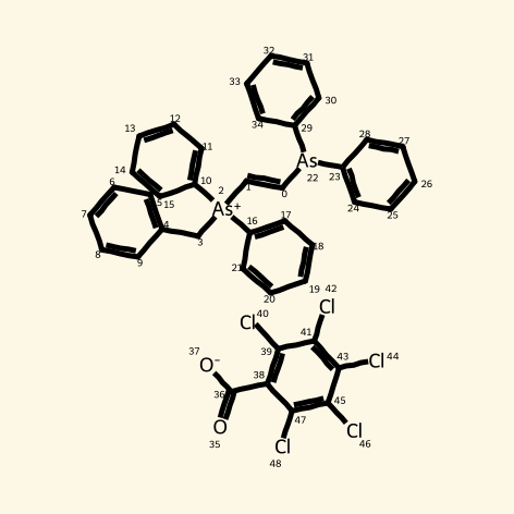 C(=C[As+](Cc1ccccc1)(c1ccccc1)c1ccccc1)[As](c1ccccc1)c1ccccc1.O=C([O-])c1c(Cl)c(Cl)c(Cl)c(Cl)c1Cl